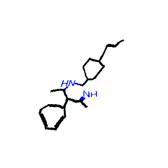 CCCC1CCC(CNC(C)C(C(C)=N)c2ccccc2)CC1